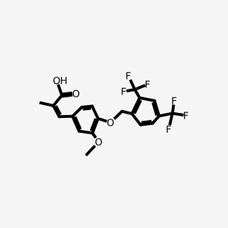 COc1cc(C=C(C)C(=O)O)ccc1OCc1ccc(C(F)(F)F)cc1C(F)(F)F